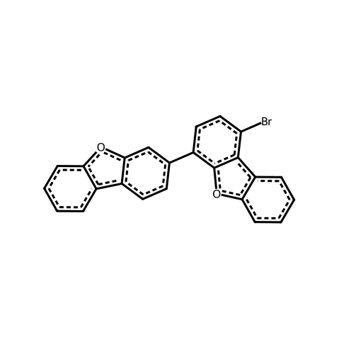 Brc1ccc(-c2ccc3c(c2)oc2ccccc23)c2oc3ccccc3c12